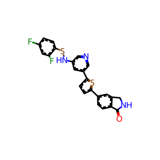 O=C1NCc2cc(-c3ccc(-c4cncc(NSc5ccc(F)cc5F)c4)s3)ccc21